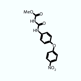 COC(=O)NC(=O)Nc1ccc(Oc2ccc([N+](=O)[O-])cc2)cc1